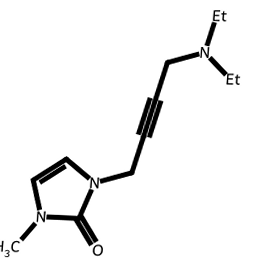 CCN(CC)CC#CCn1ccn(C)c1=O